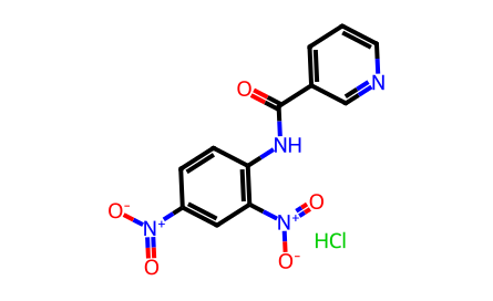 Cl.O=C(Nc1ccc([N+](=O)[O-])cc1[N+](=O)[O-])c1cccnc1